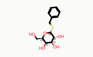 OC[C@H]1O[C@@H](SCc2ccccc2)[C@H](O)[C@@H](O)[C@H]1O